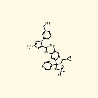 CS(=O)(=O)NC(CCC1CC1)(c1ccncc1)c1ccc(F)c(NC(O)c2cc(C(F)(F)F)nn2-c2cccc(CN)c2)c1